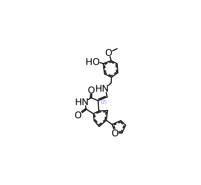 COc1ccc(CN/C=C2\C(=O)NC(=O)c3ccc(-c4ccco4)cc32)cc1O